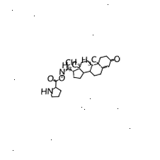 C/C(=N/OC(=O)C1CCCN1)C1CCC2C3CCC4=CC(=O)CCC4(C)C3CCC12C